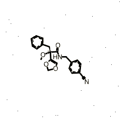 CO[C@](Cc1ccccc1)(C(=O)NCc1ccc(C#N)cc1)C1=COCO1